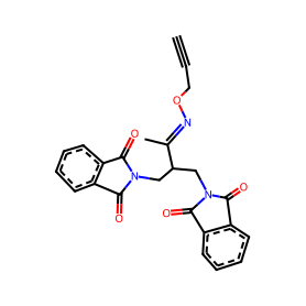 C#CCON=C(C)C(CN1C(=O)c2ccccc2C1=O)CN1C(=O)c2ccccc2C1=O